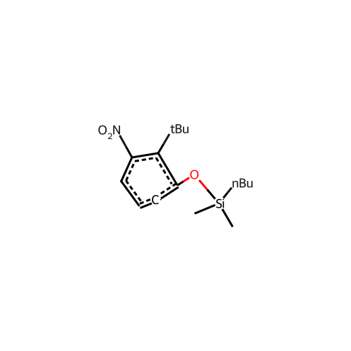 CCCC[Si](C)(C)Oc1[c]ccc([N+](=O)[O-])c1C(C)(C)C